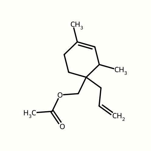 C=CCC1(COC(C)=O)CCC(C)=CC1C